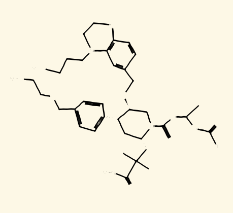 CNC(=O)C(C)(C)C[C@@H]1C[C@H](c2ccc(COCCOC)cc2)[C@@H](OCc2ccc3c(c2)N(CCCOC)CCO3)CN1C(=O)OC(C)OC(=O)C(C)C